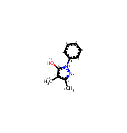 Cc1nn(-c2ccccc2)c(O)c1C